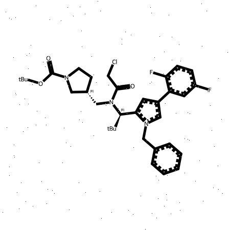 CC(C)(C)OC(=O)N1CC[C@H](CN(C(=O)CCl)[C@@H](c2cc(-c3cc(F)ccc3F)cn2Cc2ccccc2)C(C)(C)C)C1